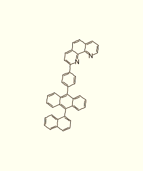 c1ccc2c(-c3c4ccccc4c(-c4ccc(-c5ccc6ccc7cccnc7c6n5)cc4)c4ccccc34)cccc2c1